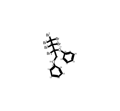 BrC(Br)(Br)C(Br)(Br)C(Br)(COc1ccccc1)Oc1ccccc1